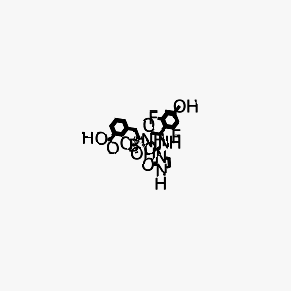 O=C(O)c1cccc2c1OB(O)[C@@H](NC(=O)C(NC(=O)N1CCNC1=O)c1c(F)cc(O)cc1F)C2